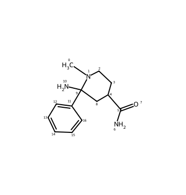 CN1CCC(C(N)=O)CC1(N)c1ccccc1